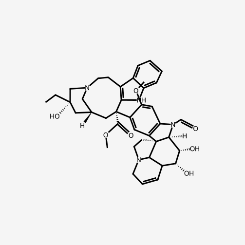 CC[C@]1(O)C[C@@H]2CN(CCc3c([nH]c4ccccc34)[C@@](C(=O)OC)(c3cc4c(cc3OC)N(C=O)[C@H]3[C@H](O)[C@H](O)C5C=CCN6CC[C@]43C56)C2)C1